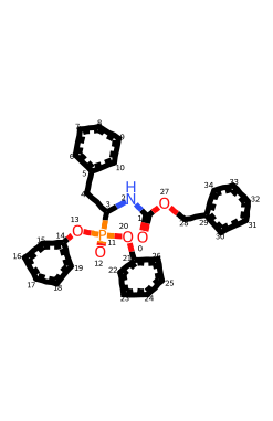 O=C(NC(Cc1ccccc1)P(=O)(Oc1ccccc1)Oc1ccccc1)OCc1ccccc1